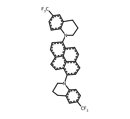 FC(F)(F)c1ccc2c(c1)CCCN2c1ccc2ccc3c(N4CCCc5cc(C(F)(F)F)ccc54)ccc4ccc1c2c43